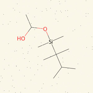 CC(O)O[Si](C)(C)C(C)(C)C(C)C